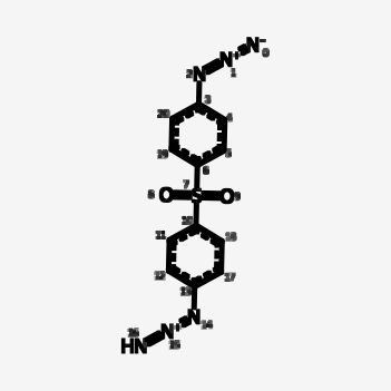 [N-]=[N+]=Nc1ccc(S(=O)(=O)c2ccc(N=[N+]=N)cc2)cc1